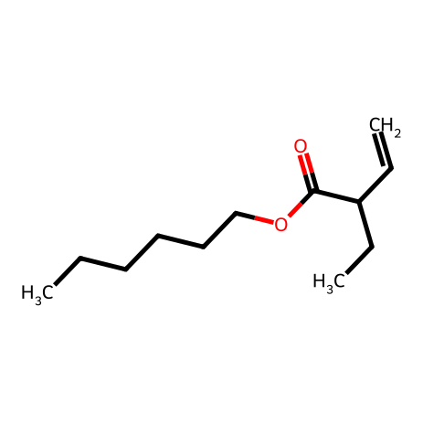 C=CC(CC)C(=O)OCCCCCC